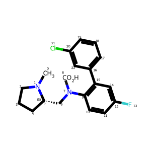 CN1CCC[C@H]1CN(C(=O)O)c1ccc(F)cc1-c1cccc(Cl)c1